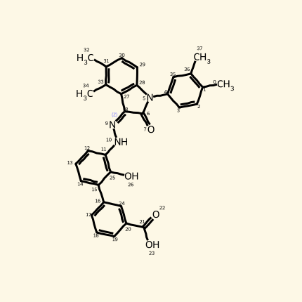 Cc1ccc(N2C(=O)/C(=N\Nc3cccc(-c4cccc(C(=O)O)c4)c3O)c3c2ccc(C)c3C)cc1C